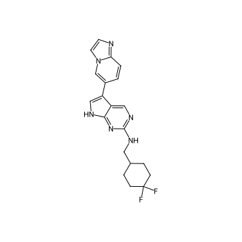 FC1(F)CCC(CNc2ncc3c(-c4ccc5nccn5c4)c[nH]c3n2)CC1